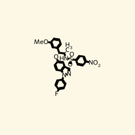 COc1cccc([C@@H](Oc2ccc3c(cnn3-c3ccc(F)cc3)c2)[C@H](C)NS(=O)(=O)c2ccc([N+](=O)[O-])cc2)c1